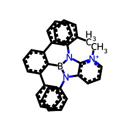 Cc1ccccc1N1B(c2c(-c3ccccc3)cccc2-c2ccccc2)N(c2ccccc2)c2ccc[n+](C)c21